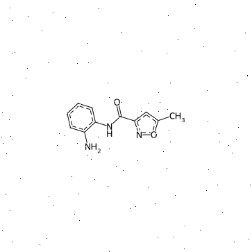 Cc1cc(C(=O)Nc2ccccc2N)no1